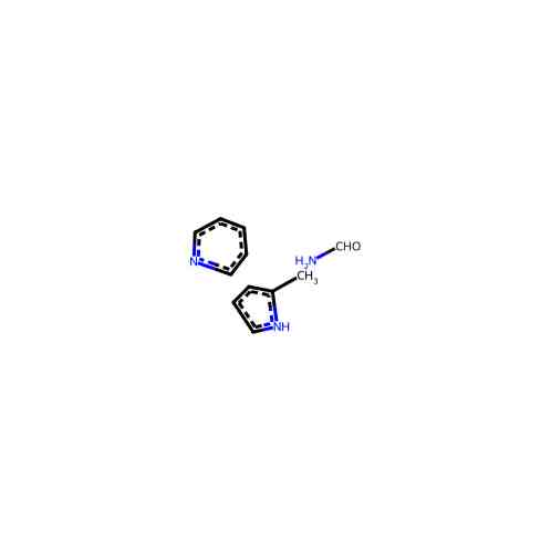 Cc1ccc[nH]1.NC=O.c1ccncc1